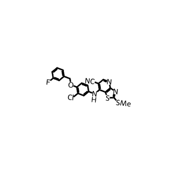 CSc1nc2ncc(C#N)c(Nc3ccc(OCc4cccc(F)c4)c(Cl)c3)c2s1